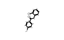 O=C(Cc1ccccc1Cl)c1ccc(I)cc1